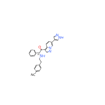 N#Cc1ccc(CCN[C@@H](C(=O)c2cnn3cc(-c4cn[nH]c4)ccc23)c2ccccc2)cc1